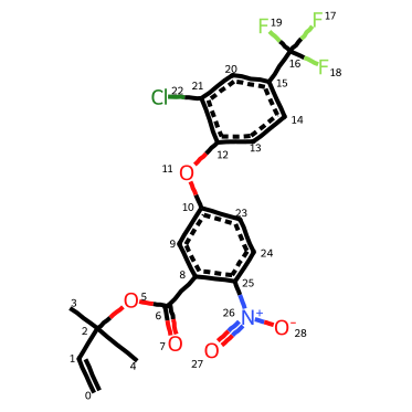 C=CC(C)(C)OC(=O)c1cc(Oc2ccc(C(F)(F)F)cc2Cl)ccc1[N+](=O)[O-]